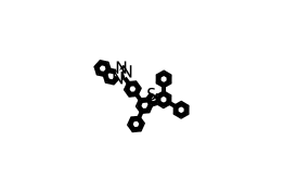 c1ccc(-c2cc(-c3ccccc3)c3sc4c(-c5ccc(-c6nnc7c8ccccc8ccn67)cc5)cc(-c5ccccc5)cc4c3c2)cc1